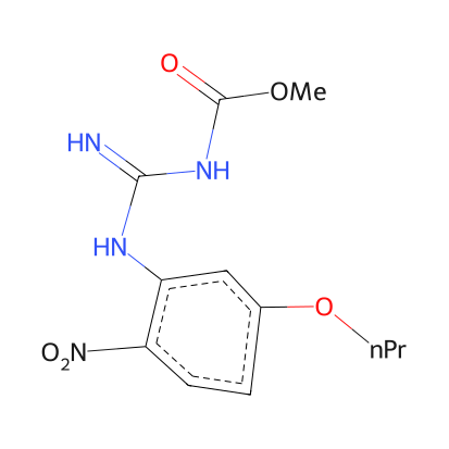 CCCOc1ccc([N+](=O)[O-])c(NC(=N)NC(=O)OC)c1